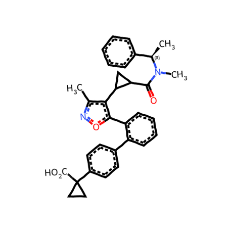 Cc1noc(-c2ccccc2-c2ccc(C3(C(=O)O)CC3)cc2)c1C1CC1C(=O)N(C)[C@H](C)c1ccccc1